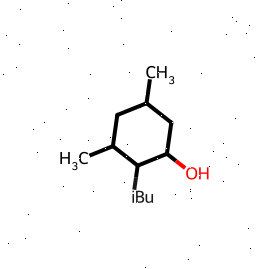 CCC(C)C1C(C)CC(C)CC1O